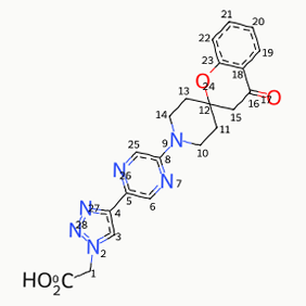 O=C(O)Cn1cc(-c2cnc(N3CCC4(CC3)CC(=O)c3ccccc3O4)cn2)nn1